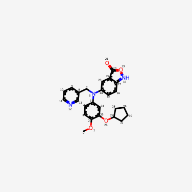 COc1ccc(N(Cc2cccnc2)c2ccc3[nH]oc(=O)c3c2)cc1OC1CCCC1